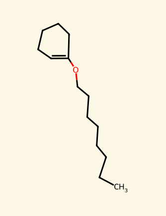 CCCCCCCCOC1=CCCCC1